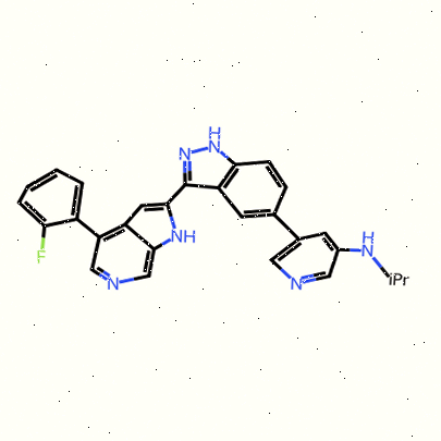 CC(C)Nc1cncc(-c2ccc3[nH]nc(-c4cc5c(-c6ccccc6F)cncc5[nH]4)c3c2)c1